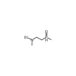 CCN(C)CC[PH](C)=O